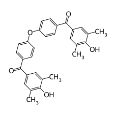 Cc1cc(C(=O)c2ccc(Oc3ccc(C(=O)c4cc(C)c(O)c(C)c4)cc3)cc2)cc(C)c1O